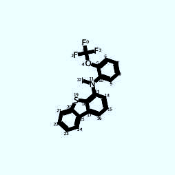 FC(F)(F)Oc1ccccc1N(I)c1cccc2c1sc1ccccc12